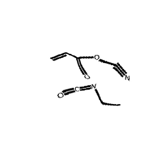 C=CC(=O)OC#N.CCN=C=O